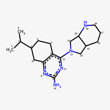 CC(C)C1CCc2c(nc(N)nc2N2CC3CCCNC3C2)C1